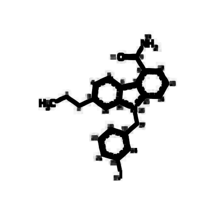 CCCc1c[c]c2c3c(C(N)=O)cccc3n(Cc3cccc(I)c3)c2c1